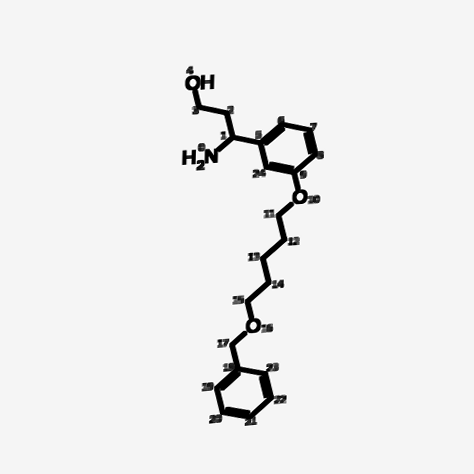 NC(CCO)c1cccc(OCCCCCOCc2ccccc2)c1